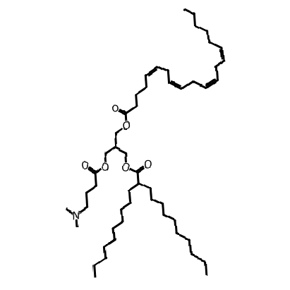 CCCCC/C=C\C/C=C\C/C=C\C/C=C\CCCC(=O)OCC(COC(=O)CCCN(C)C)COC(=O)C(CCCCCCCCCC)CCCCCCCCCC